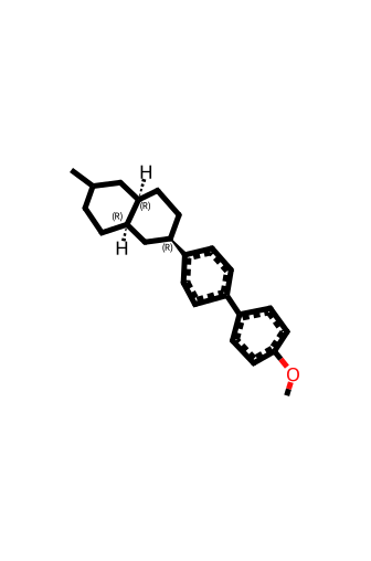 COc1ccc(-c2ccc([C@@H]3CC[C@@H]4CC(C)CC[C@@H]4C3)cc2)cc1